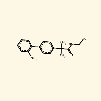 CC(C)CNC(=O)C(C)(C)c1ccc(-c2ccccc2N)cc1